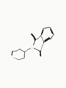 O=C1c2ccccc2C(=O)N1C1CCOCC1